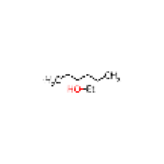 [CH2]CCCCC.[CH2]CO